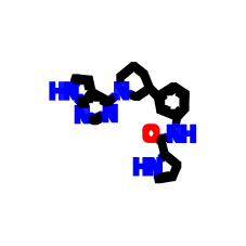 O=C(Nc1cccc(C2CCCN(c3ncnc4[nH]ccc34)C2)c1)C1CC=CN1